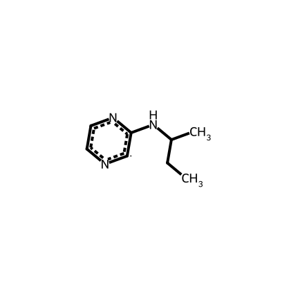 CCC(C)Nc1[c]nccn1